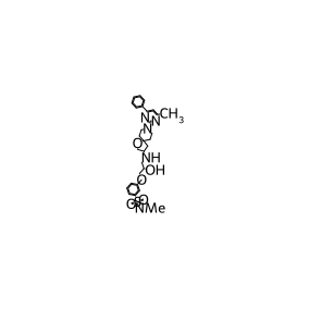 CNS(=O)(=O)c1cccc(OC[C@@H](O)CN[C@H]2COC3(CCN(c4nc(C)cc(-c5ccccc5)n4)CC3)C2)c1